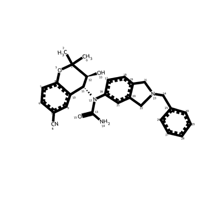 CC1(C)Oc2ccc(C#N)cc2[C@@H](N(C(N)=O)c2ccc3c(c2)CN(Cc2ccccc2)C3)[C@@H]1O